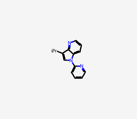 CC(C)c1cn(-c2ccccn2)c2cccnc12